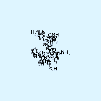 CCCCCCN(C(=O)[C@@H](NC(=O)C1CCCCN1C)[C@@H](C)CC)[C@H](C[C@@H](OC(=O)NCCN)c1nc(C(=O)N[C@@H](Cc2ccc(N)c(F)c2)CC(C)(C)C(=O)O)cs1)C(C)C